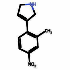 Cc1cc([N+](=O)[O-])ccc1C1=CCNC1